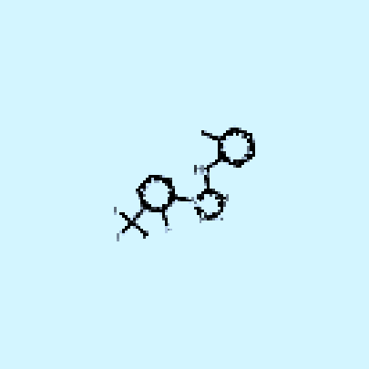 Cc1ccccc1Nc1nnnn1-c1cccc(C(F)(F)F)c1F